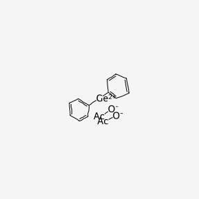 CC(=O)[O-].CC(=O)[O-].c1cc[c]([Ge+2][c]2ccccc2)cc1